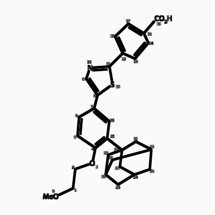 COCCOc1ccc(-c2cnc(-c3ccc(C(=O)O)cc3)s2)cc1C12CC3CC(CC(C3)C1)C2